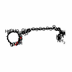 CO[C@H]1C[C@@H]2CC[C@@H](C)[C@@](O)(O2)C(=O)C(=O)N2CCCC[C@H]2C(=O)O[C@H]([C@H](N)C[C@@H]2CC[C@@H](OC(=O)N3CCN(CCOCCOCCOCCOCCOCCOCCC(=O)N4CCc5cc(Cn6nc(-c7ccc8oc(N)nc8c7)c7c(N)ncnc76)ccc5C4)CC3)[C@H](O)C2)CC(=O)C(C)/C=C(\C)[C@@H](O)[C@@H](O)C(=O)[C@H](C)C[C@H](C)/C=C/C=C/C=C/1C